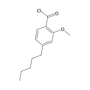 CCCCCc1ccc(C(=O)Cl)c(OC)c1